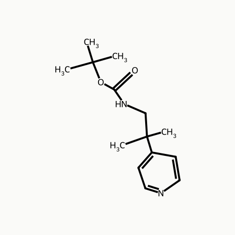 CC(C)(C)OC(=O)NCC(C)(C)c1ccncc1